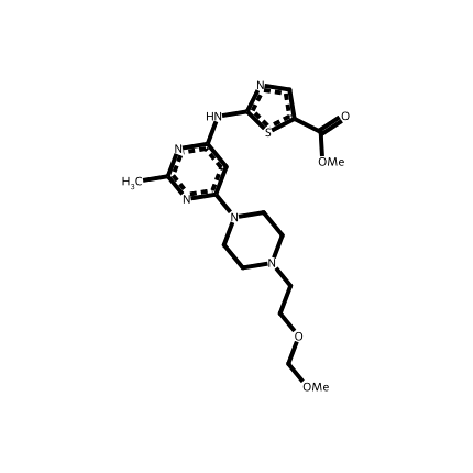 COCOCCN1CCN(c2cc(Nc3ncc(C(=O)OC)s3)nc(C)n2)CC1